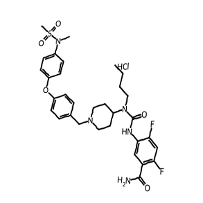 CCCCN(C(=O)Nc1cc(C(N)=O)c(F)cc1F)C1CCN(Cc2ccc(Oc3ccc(N(C)S(C)(=O)=O)cc3)cc2)CC1.Cl